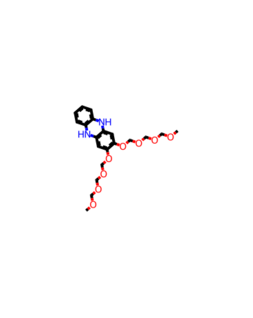 COCOCOCOc1cc2c(cc1OCOCOCOC)Nc1ccccc1N2